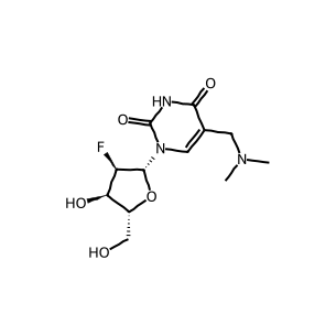 CN(C)Cc1cn([C@@H]2O[C@H](CO)[C@@H](O)[C@H]2F)c(=O)[nH]c1=O